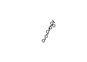 COCCOCCOCCOCC(=O)OC(C)C